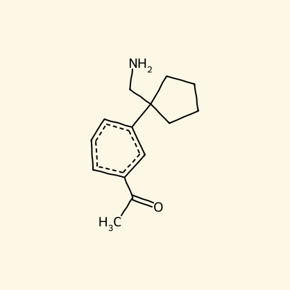 CC(=O)c1cccc(C2(CN)CCCC2)c1